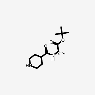 C[C@H](NC(=O)C1CCNCC1)C(=O)OC(C)(C)C